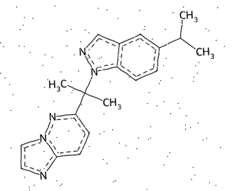 CC(C)c1ccc2c(cnn2C(C)(C)c2ccc3nccn3n2)c1